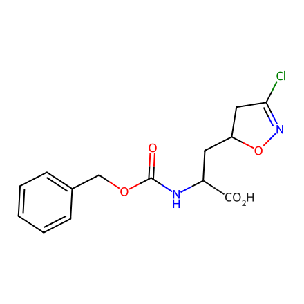 O=C(NC(CC1CC(Cl)=NO1)C(=O)O)OCc1ccccc1